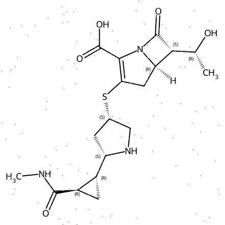 CNC(=O)[C@@H]1C[C@H]1[C@@H]1C[C@H](SC2=C(C(=O)O)N3C(=O)[C@H]([C@@H](C)O)[C@H]3C2)CN1